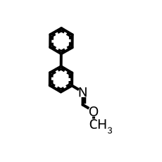 COC=Nc1cccc(-c2ccccc2)c1